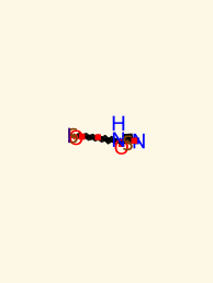 N#Cc1ccc(C(=O)NCCCCCCCCCCCCOSI)s1